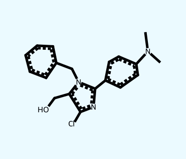 CN(C)c1ccc(-c2nc(Cl)c(CO)n2Cc2ccccc2)cc1